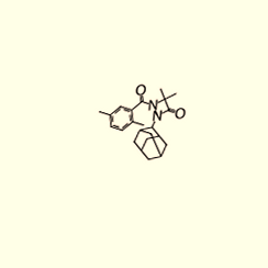 Cc1ccc(C)c(C(=O)N2N(C3C4CC5CC(C4)CC3C5)C(=O)C2(C)C)c1